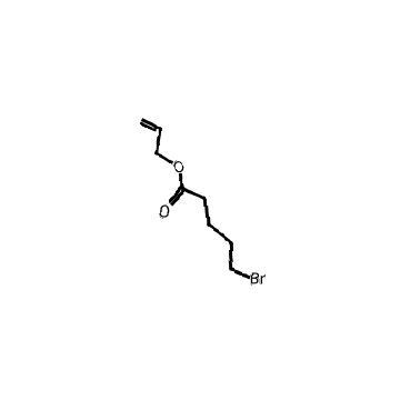 C=CCOC(=O)CCCCBr